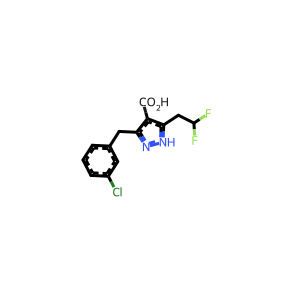 O=C(O)c1c(Cc2cccc(Cl)c2)n[nH]c1CC(F)F